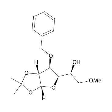 COC[C@H](O)[C@H]1O[C@@H]2OC(C)(C)O[C@@H]2[C@H]1OCc1ccccc1